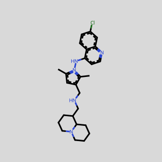 Cc1cc(CNCC2CCCN3CCCCC23)c(C)n1Nc1ccnc2cc(Cl)ccc12